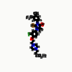 CCOC(=O)CCN1CCN(CCOc2ccc(N3C(=S)N(c4ccc(C#N)c(C(F)(F)F)c4)C(=O)C3(C)C)cc2F)CC1